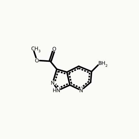 Bc1cnc2[nH]nc(C(=O)OC)c2c1